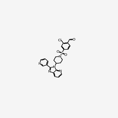 O=Cc1ccc(S(=O)(=O)N2CCC(n3c(-c4cccnc4)nc4cccnc43)CC2)cc1Cl